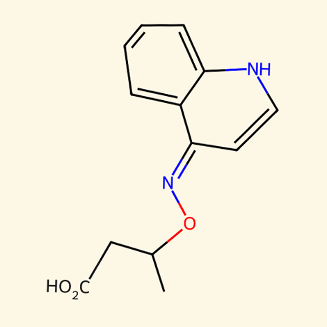 CC(CC(=O)O)ON=c1cc[nH]c2ccccc12